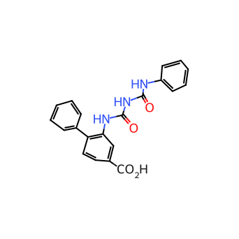 O=C(NC(=O)Nc1cc(C(=O)O)ccc1-c1ccccc1)Nc1ccccc1